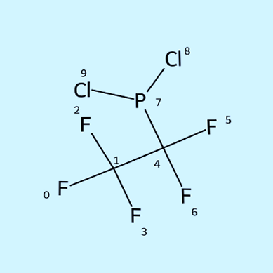 FC(F)(F)C(F)(F)P(Cl)Cl